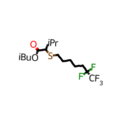 CC(C)COC(=O)C(SCCCCCC(F)(F)C(F)(F)F)C(C)C